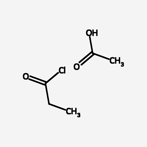 CC(=O)O.CCC(=O)Cl